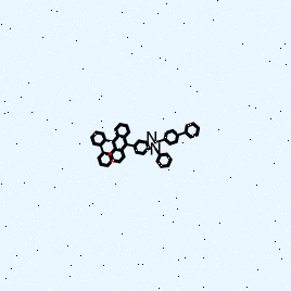 c1ccc(-c2ccc(-c3nc4cc(-c5c6ccccc6c(-c6ccccc6-c6ccccc6)c6ccccc56)ccc4n3-c3ccccc3)cc2)cc1